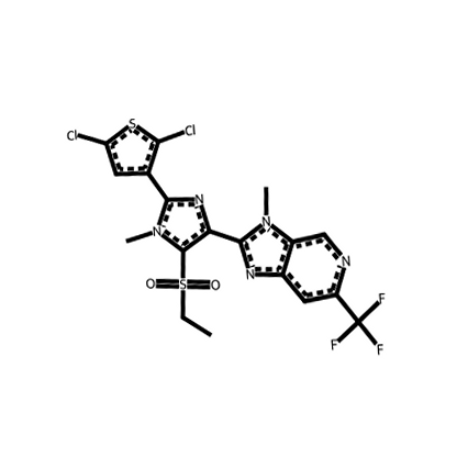 CCS(=O)(=O)c1c(-c2nc3cc(C(F)(F)F)ncc3n2C)nc(-c2cc(Cl)sc2Cl)n1C